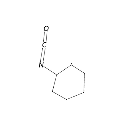 O=C=NC1[CH]CCCC1